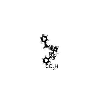 O=C(O)c1cccc(-c2nc(C3(CN[C@H]4CC4c4ccccc4)CCC3)no2)c1